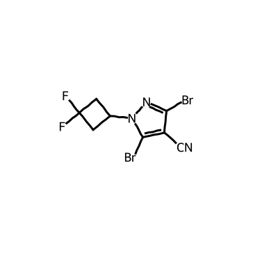 N#Cc1c(Br)nn(C2CC(F)(F)C2)c1Br